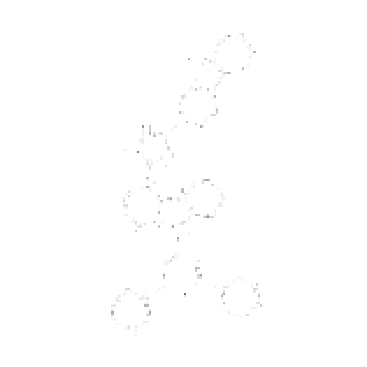 C1=C(c2ccccc2)CC(c2ccccc2)C=C1n1c2ccccc2c2c(-c3nnc(-c4ccc5c(c4)[nH]c4ccccc45)o3)cccc21